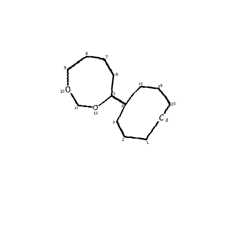 C1CCCC(C2CCCCOCO2)CCC1